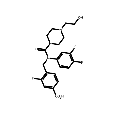 O=C(O)c1ccc(CN(C(=O)N2CCN(CCO)CC2)c2ccc(F)c(Cl)c2)c(F)c1